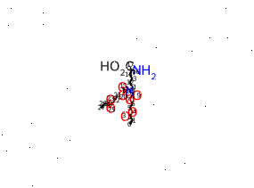 C=CC(=O)OCCOC(=O)N(CCCC[C@H](N)C(=O)O)C(=O)OCCOC(=O)C=C